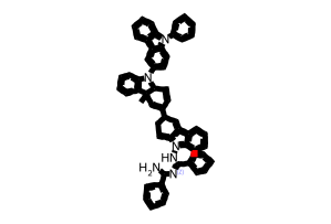 CC12C=C(C3C=c4c(n(N/C(=N\C(N)c5ccccc5)c5ccccc5)c5ccccc45)=CC3)C=CC1N(c1ccc3c(c1)c1ccccc1n3-c1ccccc1)c1ccccc12